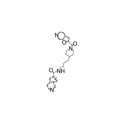 O=C(NCCCCC1CCN(C(=O)c2cc3ccncc3o2)CC1)c1cc2ccncc2s1